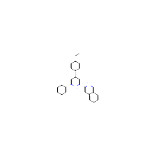 C=Cc1ccc(-c2cc(-c3ccccc3)nc(-c3cc4ccccc4cn3)c2)cc1